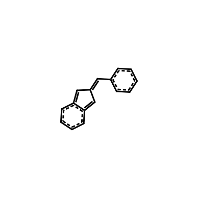 C(=C1C=c2ccccc2=C1)c1ccccc1